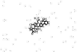 CCCCc1nc(Cl)c(C(OC)c2occc2C(=O)O)n1Cc1ccc(-c2ccccc2C(=O)O)cc1